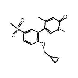 Cc1cc(=O)n(C)cc1-c1cc(S(C)(=O)=O)ccc1OCC1CC1